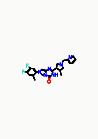 Cc1cc(F)c(F)cc1N1C=C2N=C(C3CN(Cc4ccccn4)CC3C)NC(=O)N2C1